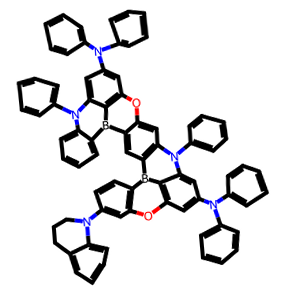 c1ccc(N(c2ccccc2)c2cc3c4c(c2)N(c2ccccc2)c2ccccc2B4c2cc4c(cc2O3)N(c2ccccc2)c2cc(N(c3ccccc3)c3ccccc3)cc3c2B4c2ccc(N4CCCc5ccccc54)cc2O3)cc1